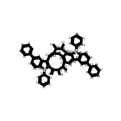 C=C1c2c(c3cc(-c4ccccc4)ccc3n2C2C=CC=CC2)/C=C2\Cc3c(cc4c5cc(-c6ccccc6)ccc5n(-c5ccccc5)c4c3C(C)C2C)C(C)C1C